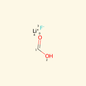 O=CO.[F-].[Li+]